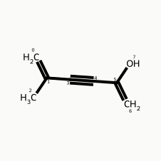 C=C(C)C#CC(=C)O